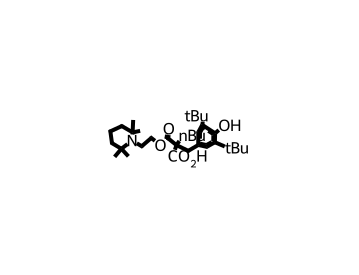 CCCCC(Cc1cc(C(C)(C)C)c(O)c(C(C)(C)C)c1)(C(=O)O)C(=O)OCCN1C(C)(C)CCCC1(C)C